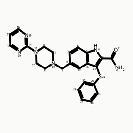 NC(=O)c1[nH]c2ccc(CN3CCN(c4ncccn4)CC3)cc2c1Sc1ccccc1